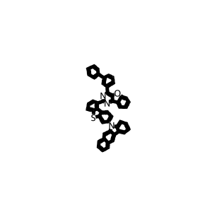 c1ccc(-c2cccc(-c3nc(-c4cccc5sc6cc(-n7c8ccccc8c8cc9ccccc9cc87)ccc6c45)nc4c3oc3ccccc34)c2)cc1